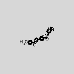 Cc1ccc(C(=O)N2CCC(c3ccc(C(=O)NCc4ccn5ccnc5c4)cc3)C2)cc1